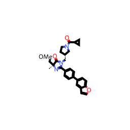 COC[C@]1(C)N=C(c2ccc(-c3ccc4occc4c3)cc2)N(C[C@@H]2CCN(C(=O)C3CC3)C2)C1=O